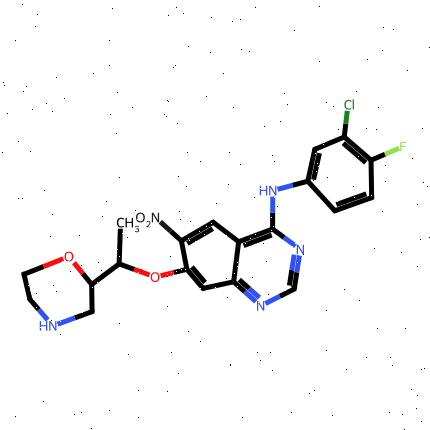 CC(Oc1cc2ncnc(Nc3ccc(F)c(Cl)c3)c2cc1[N+](=O)[O-])C1CNCCO1